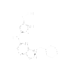 COc1cc(Nc2cnc3cnn(CC4CCCOC4)c3n2)n[nH]1